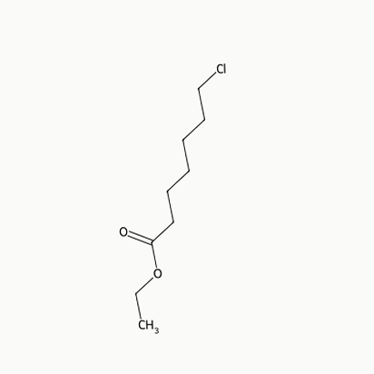 CCOC(=O)CCCCCCCl